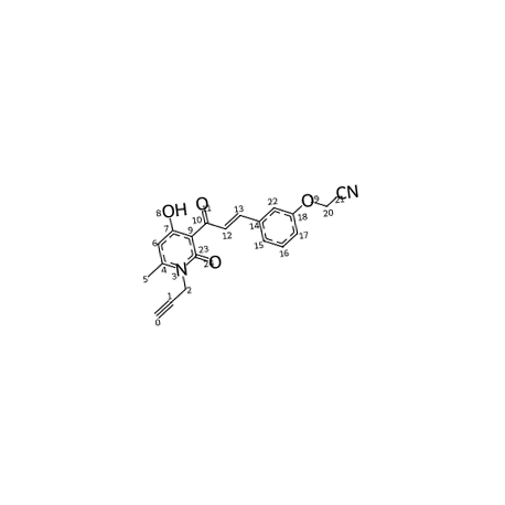 C#CCn1c(C)cc(O)c(C(=O)/C=C/c2cccc(OCC#N)c2)c1=O